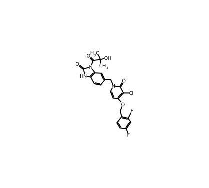 CC(C)(O)C(=O)n1c(=O)[nH]c2ccc(Cn3ccc(OCc4ccc(F)cc4F)c(Cl)c3=O)cc21